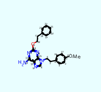 COc1ccc(CCn2cnc3c(N)nc(OCCc4ccccc4)nc32)cc1